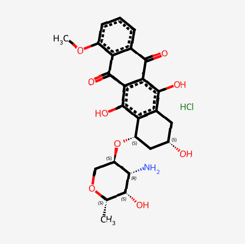 COc1cccc2c1C(=O)c1c(O)c3c(c(O)c1C2=O)C[C@H](O)C[C@@H]3O[C@@H]1CO[C@@H](C)[C@@H](O)[C@H]1N.Cl